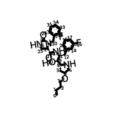 CCCCO[C@H]1CN[C@@H]([C@@H](O)[C@H](Cc2cc(F)cc(F)c2)NC(=O)[C@@H]2CNC(=O)N2Cc2ccccc2)C1